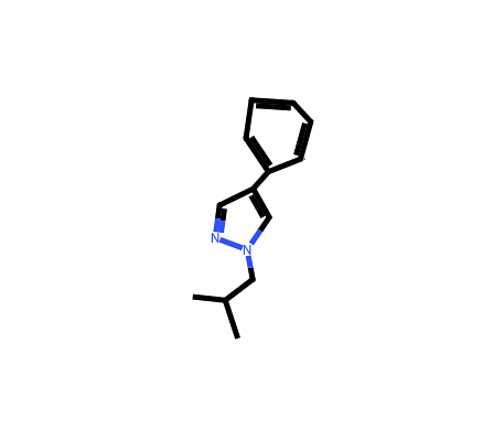 CC(C)Cn1cc(-c2[c]cccc2)cn1